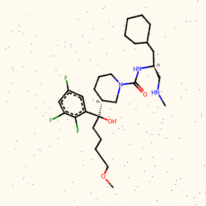 CNC[C@H](CC1CCCCC1)NC(=O)N1CCC[C@@H](C(O)(CCCCOC)c2cc(F)cc(F)c2F)C1